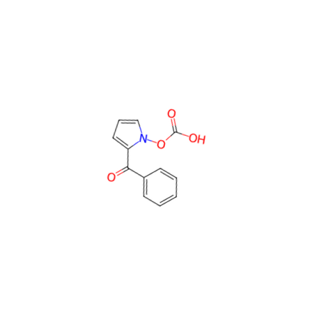 O=C(O)On1cccc1C(=O)c1ccccc1